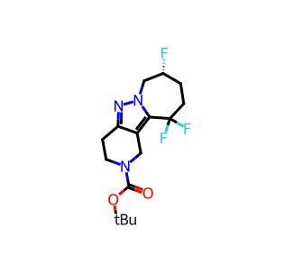 CC(C)(C)OC(=O)N1CCc2nn3c(c2C1)C(F)(F)CC[C@@H](F)C3